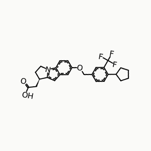 O=C(O)C[C@H]1CCn2c1cc1cc(OCc3ccc(C4CCCC4)c(C(F)(F)F)c3)ccc12